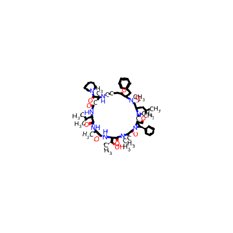 CC(C)CC1[C@@H](C=O)N(C)C(Cc2ccccc2)C(=O)CCCNC(C)(C(=O)N2CCCCC2)CC(=O)NC(C(C)C)C(=O)NC(C)C(=O)NC([C@@H](C)O)C(=O)N(C)C(C)C(=O)N2C(c3ccccc3)C2(C=O)CN1C